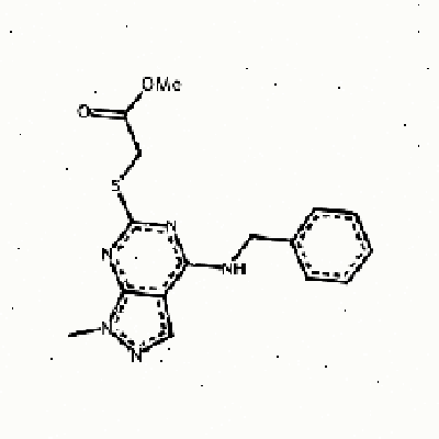 COC(=O)CSc1nc(NCc2ccccc2)c2cnn(C)c2n1